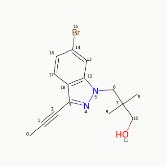 CC#Cc1nn(CC(C)(C)CO)c2cc(Br)ccc12